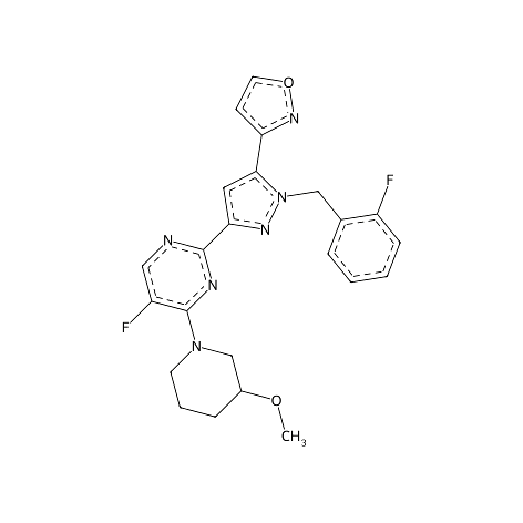 COC1CCCN(c2nc(-c3cc(-c4ccon4)n(Cc4ccccc4F)n3)ncc2F)C1